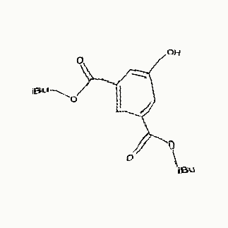 CCC(C)OC(=O)c1cc(O)cc(C(=O)OC(C)CC)c1